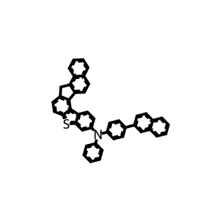 c1ccc(N(c2ccc(-c3ccc4ccccc4c3)cc2)c2ccc3c(c2)sc2ccc4c(c23)-c2ccc3ccccc3c2C4)cc1